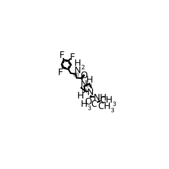 CC(C)(C)NC(=O)N1C[C@@H]2C[C@H]1CN2C(=O)C[C@H](N)Cc1cc(F)c(F)cc1F